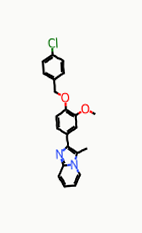 COc1cc(-c2nc3ccccn3c2C)ccc1OCc1ccc(Cl)cc1